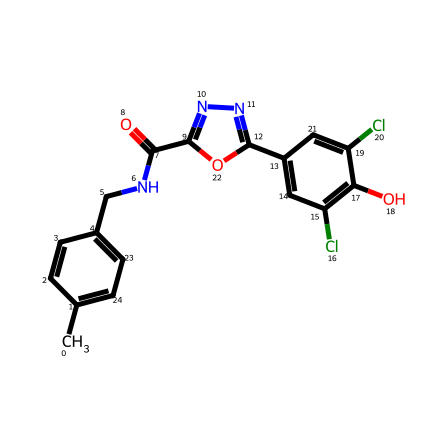 Cc1ccc(CNC(=O)c2nnc(-c3cc(Cl)c(O)c(Cl)c3)o2)cc1